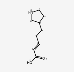 O=C(O)C=CCCC1CCNC1